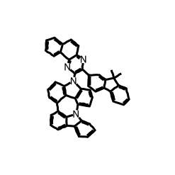 CC1(C)c2ccccc2-c2ccc(-c3nc4ccc5ccccc5c4nc3-n3c4cccc5c6cccc7c8ccccc8n(c8cccc3c8c54)c67)cc21